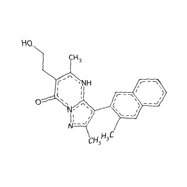 Cc1cc2ccccc2cc1-c1c(C)nn2c(=O)c(CCO)c(C)[nH]c12